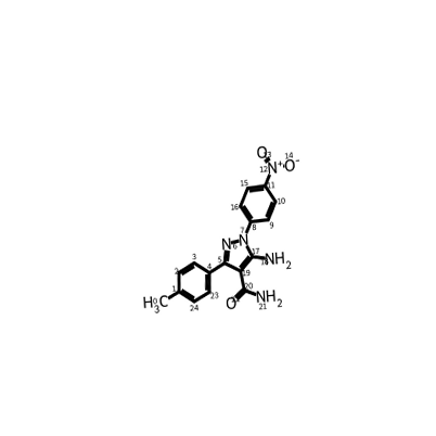 Cc1ccc(-c2nn(-c3ccc([N+](=O)[O-])cc3)c(N)c2C(N)=O)cc1